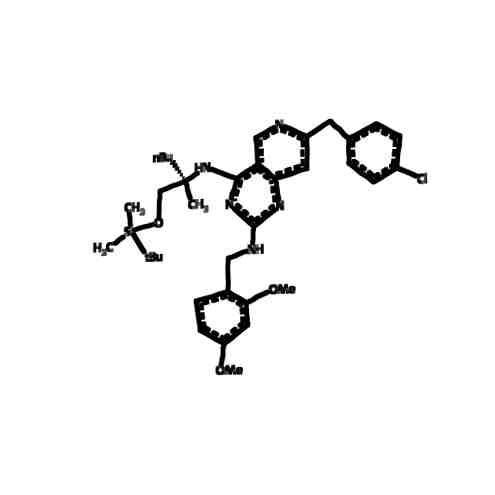 CCCC[C@](C)(CO[Si](C)(C)C(C)(C)C)Nc1nc(NCc2ccc(OC)cc2OC)nc2cc(Cc3ccc(Cl)cc3)ncc12